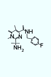 C=C(NCc1ccc(F)cc1)C1=C(C)C(=C)N(C)C(C(C)(C)N)=N1